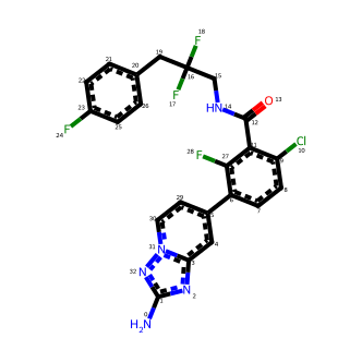 Nc1nc2cc(-c3ccc(Cl)c(C(=O)NCC(F)(F)Cc4ccc(F)cc4)c3F)ccn2n1